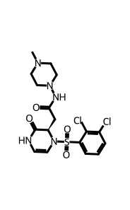 CN1CCN(NC(=O)C[C@@H]2C(=O)NC=CN2S(=O)(=O)c2cccc(Cl)c2Cl)CC1